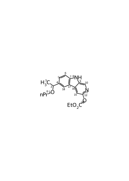 CCCOC(C)c1ccc2[nH]c3cnc(OC(=O)OCC)cc3c2c1